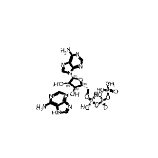 Nc1ncnc2c1ncn2[C@@H]1O[C@H](COP(=O)(O)OP(=O)(O)OP(=O)(O)O)[C@@H](O)[C@H]1O.Nc1ncnc2nc[nH]c12